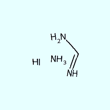 I.N.N=CN